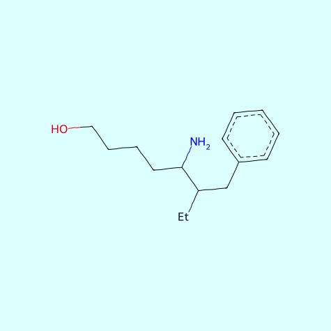 CCC(Cc1ccccc1)C(N)CCCCO